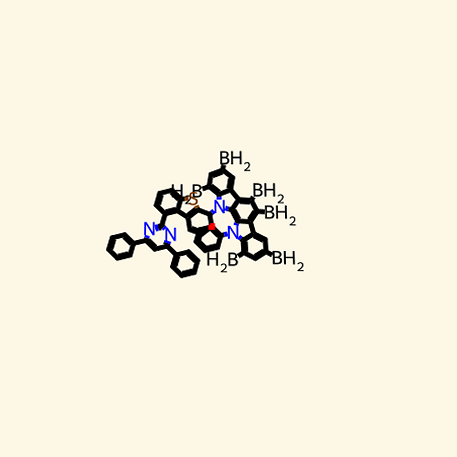 Bc1cc(B)c2c(c1)c1c(B)c(B)c3c4cc(B)cc(B)c4n(C4CC=Cc5c4sc4cccc(-c6nc(-c7ccccc7)cc(-c7ccccc7)n6)c54)c3c1n2C1=CC=C=C=C1